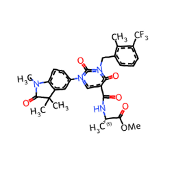 COC(=O)[C@H](C)NC(=O)c1cn(-c2ccc3c(c2)C(C)(C)C(=O)N3C)c(=O)n(Cc2cccc(C(F)(F)F)c2C)c1=O